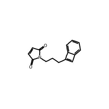 O=C1C=CC(=O)N1CCCC1=Cc2ccccc21